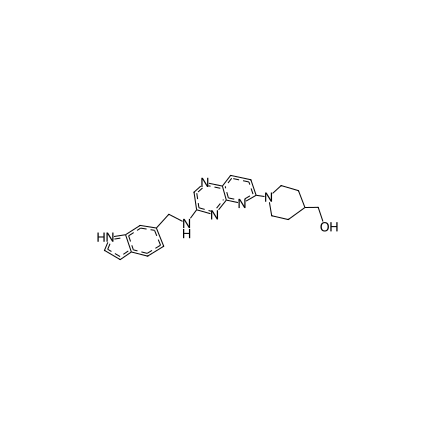 OCC1CCN(c2ccc3ncc(NCc4ccc5cc[nH]c5c4)nc3n2)CC1